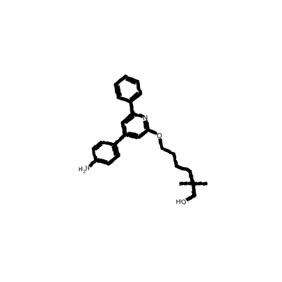 CC(C)(CO)CCCCOc1cc(-c2ccc(N)cc2)cc(-c2ccccc2)n1